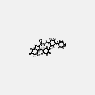 O=C(NCc1ccc(-c2ccncc2)cc1)c1cc2ccccc2n1-c1cccc(Cl)c1